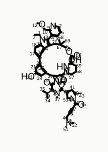 CCn1c(-c2cccnc2COC)c2c3cc(ccc31)-c1cc(O)cc(c1)C[C@H](NC(=O)[C@H](C(C)C)N(C)C(=O)[C@H]1C[C@@H](C)N(C(=O)C#CCN(C)C)C1)C(=O)N1CCC[C@@](O)(N1)C(=O)OCC(C)(C)C2